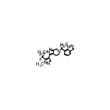 Cn1nc2c(c1-c1cnn(C)c1C(F)(F)F)CCN(C(=O)c1cccc3cnn(C)c13)C2